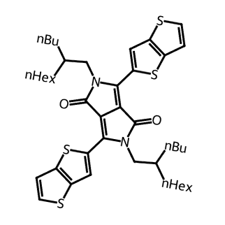 CCCCCCC(CCCC)CN1C(=O)C2=C(c3cc4sccc4s3)N(CC(CCCC)CCCCCC)C(=O)C2=C1c1cc2sccc2s1